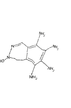 Nc1c(N)c(N)c2c(c1N)C=NN(O)C2